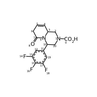 O=C(O)N1CC2C=CCC(=O)N2C(c2cc(F)c(F)c(F)c2)C1